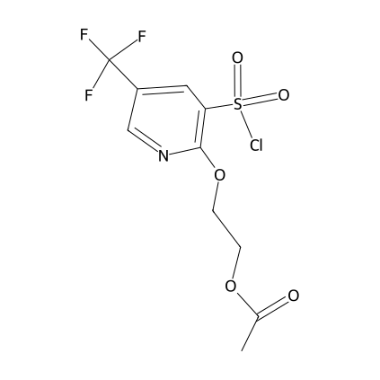 CC(=O)OCCOc1ncc(C(F)(F)F)cc1S(=O)(=O)Cl